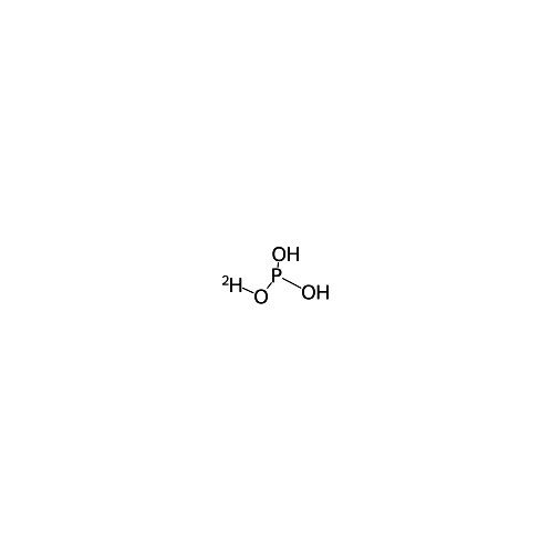 [2H]OP(O)O